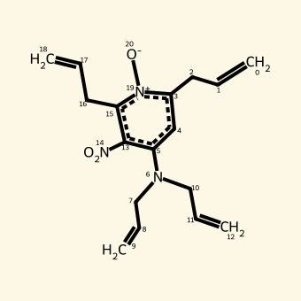 C=CCc1cc(N(CC=C)CC=C)c([N+](=O)[O-])c(CC=C)[n+]1[O-]